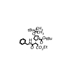 CCOC(=O)CC(C(=O)NCc1ccccc1)[C@@H]1C[C@@H](O[Si](C)(C)C(C)(C)C)CN1C(=O)OC(C)(C)C